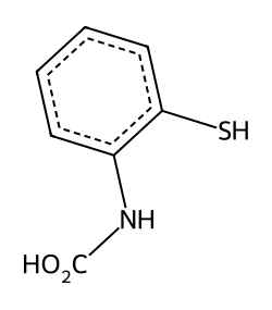 O=C(O)Nc1ccccc1S